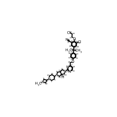 CN1CC(N2CCC(N3CC4CN(c5nccc(COc6ccc(C(C)(C)c7cc(Cl)c(OCCCl)c(C#N)c7)cc6)n5)C[C@@H]4C3)CC2)C1